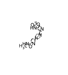 CNC(=O)c1ccc(N2CCN(Cc3cc4c(cn3)OC3(CC3)C(=O)N4)CC2)cn1